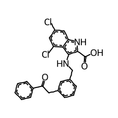 O=C(Cc1cccc(CNc2c(C(=O)O)[nH]c3cc(Cl)cc(Cl)c23)c1)c1ccccc1